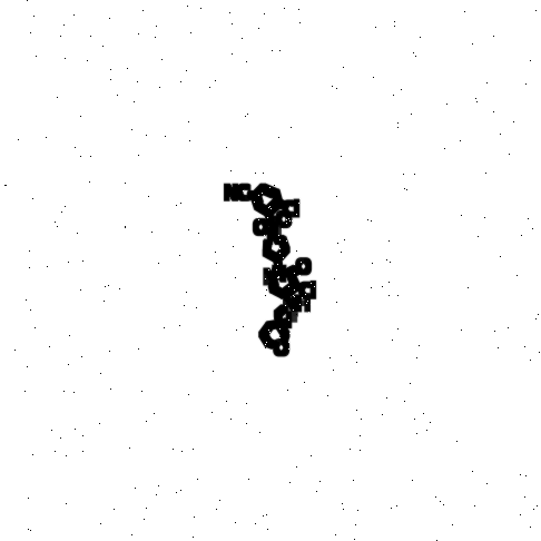 N#Cc1ccc(Cl)c(S(=O)(=O)N2CCC(n3ncc(NC[C@@]4(F)CCCOC4)c(Cl)c3=O)CC2)c1